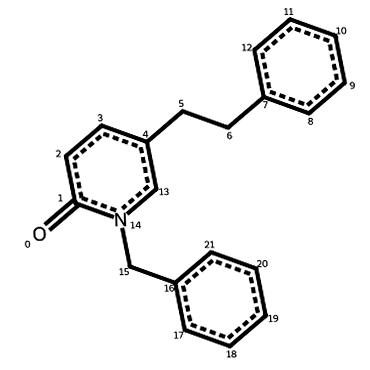 O=c1ccc(CCc2ccccc2)cn1Cc1ccccc1